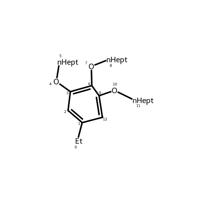 [CH2]Cc1cc(OCCCCCCC)c(OCCCCCCC)c(OCCCCCCC)c1